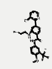 COCCNc1cc(-c2ncccc2Cl)ccc1C(=O)Nc1ccc(OC)c(C(F)(F)F)c1